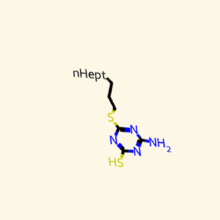 CCCCCCCCCCSc1nc(N)nc(S)n1